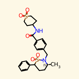 C[C@H]1CCC(c2ccccc2)S(=O)(=O)N1Cc1ccc(C(=O)NC2CCS(=O)(=O)CC2)cc1